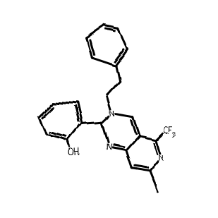 Cc1cc2c(c(C(F)(F)F)n1)=CN(CCc1ccccc1)C(c1ccccc1O)N=2